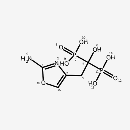 Nc1nc(CC(O)(P(=O)(O)O)P(=O)(O)O)co1